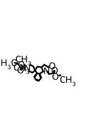 CCOC(=O)CN1C(=O)CC2CC3(CCN(C(=O)OC(C)(C)C)CC3)c3ccccc3C21